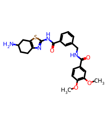 COc1ccc(C(=O)NCc2cccc(C(=O)Nc3nc4c(s3)CC(N)CC4)c2)cc1OC